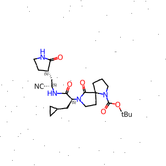 CC(C)(C)OC(=O)N1CCCC12CCN([C@@H](CC1CC1)C(=O)N[C@H](C#N)C[C@@H]1CCNC1=O)C2=O